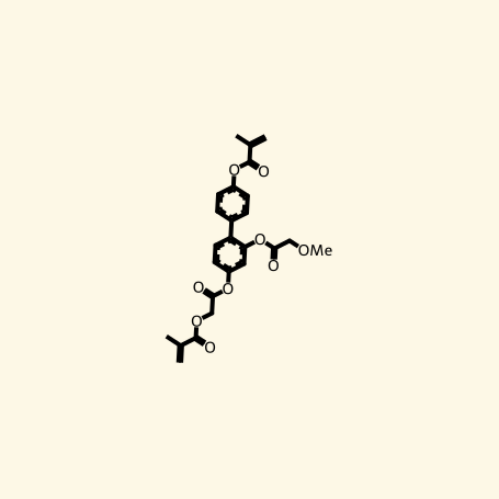 C=C(C)C(=O)OCC(=O)Oc1ccc(-c2ccc(OC(=O)C(=C)C)cc2)c(OC(=O)COC)c1